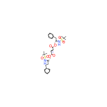 CC(C)(C)S(=O)(=O)N[C@H](COC(=O)/C=C/C(=O)OC[C@H](CCc1ccccc1)NS(=O)(=O)C(C)(C)C)Cc1ccccc1